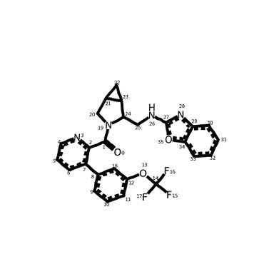 O=C(c1ncccc1-c1cccc(OC(F)(F)F)c1)N1CC2CC2C1CNc1nc2ccccc2o1